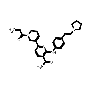 C=CC(=O)N1CCC=C(c2ccc(C(N)=O)c(Nc3ccc(CCN4CCCC4)cc3)n2)C1